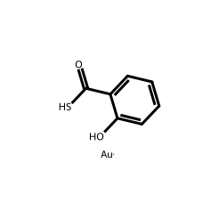 O=C(S)c1ccccc1O.[Au]